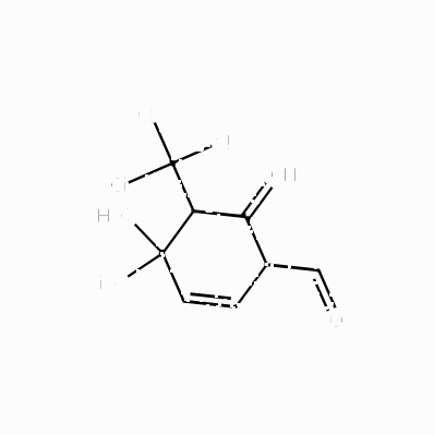 C=C1C(C=O)C=CC(C)(C)C1C(Cl)(Cl)Cl